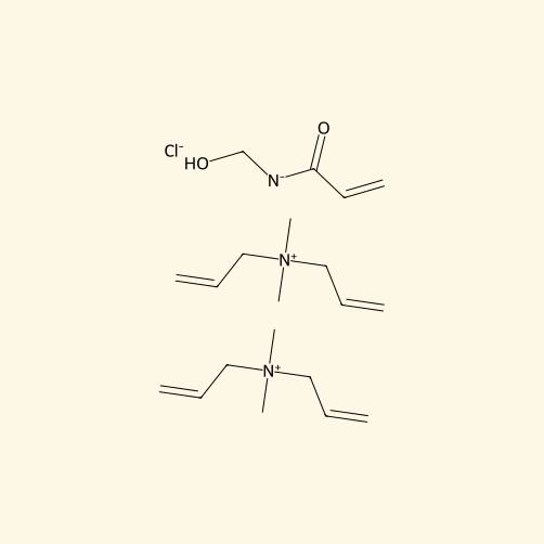 C=CC(=O)[N-]CO.C=CC[N+](C)(C)CC=C.C=CC[N+](C)(C)CC=C.[Cl-]